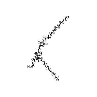 CCOCC(=O)NC[C@@H](NC(=O)CCSC1CC(=O)N(CCC(=O)NCCOCCOCCOCCOCCC=O)C1=O)C(=O)NCCOCCOCCOCCOCCC=O